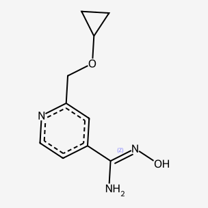 N/C(=N\O)c1ccnc(COC2CC2)c1